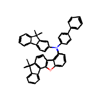 CC1(C)c2ccccc2-c2ccc(N(c3ccc(-c4ccccc4)cc3)c3cccc4oc5c6c(ccc5c34)C(C)(C)c3ccccc3-6)cc21